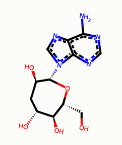 Nc1ncnc2c1ncn2[C@@H]1O[C@H](CO)[C@@H](O)[C@H](O)C[C@H]1O